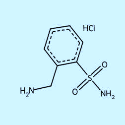 Cl.NCc1ccccc1S(N)(=O)=O